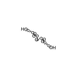 CC(C)(c1ccc(O)cc1)c1ccc(OC(=O)c2cccc(-c3ccoc3-c3cccc(C(=O)Oc4ccc(C(C)(C)c5ccc(O)cc5)cc4)c3)c2)cc1